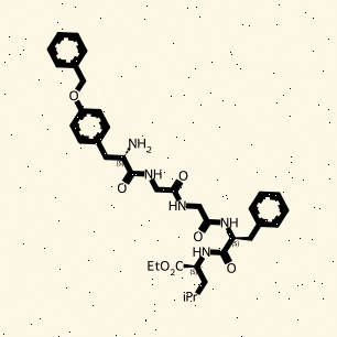 CCOC(=O)[C@H](CC(C)C)NC(=O)[C@H](Cc1ccccc1)NC(=O)CNC(=O)CNC(=O)[C@@H](N)Cc1ccc(OCc2ccccc2)cc1